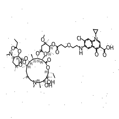 CCC(=O)O[C@H]1[C@H](O[C@@H]2[C@@H](C)[C@H](O[C@H]3C[C@@](C)(OC)[C@@H](OC(=O)CCOCCNc4cc5c(=O)c(C(=O)O)cn(C6CC6)c5cc4Cl)[C@H](C)O3)[C@@H](C)C(=O)O[C@H](CC)[C@@](C)(O)[C@H](O)[C@@H](C)N(C)C[C@H](C)C[C@@]2(C)O)O[C@H](C)C[C@@H]1N(C)C